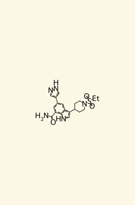 CCS(=O)(=O)N1CCC(c2c[nH]c3c(C(N)=O)cc(-c4cn[nH]c4)cc23)CC1